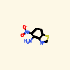 Nc1c([N+](=O)[O-])ccc2scnc12